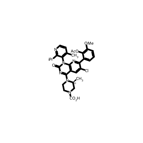 COc1cccc(-c2nc3c(cc2Cl)c(N2CCN(C(=O)O)C[C@@H]2C)nc(=O)n3-c2c(C)ccnc2C(C)C)c1OC(C)=O